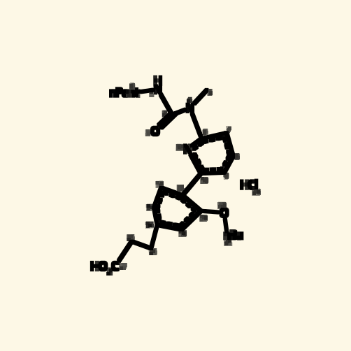 CCCCCNC(=O)N(C)c1cccc(-c2ccc(CCC(=O)O)cc2OCCCC)n1.Cl